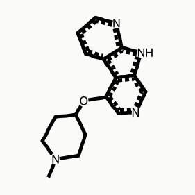 CN1CCC(Oc2cncc3[nH]c4ncccc4c23)CC1